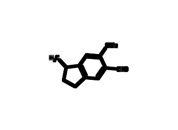 COc1cc2c(cc1C=O)CCC2C